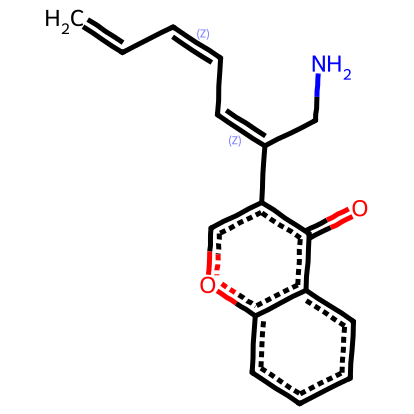 C=C/C=C\C=C(/CN)c1coc2ccccc2c1=O